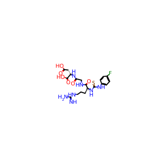 N=C(N)NCCC[C@H](NC(=S)Nc1ccc(F)cc1)C(=O)NCC(=O)N[C@@H](CC(=O)O)C(=O)O